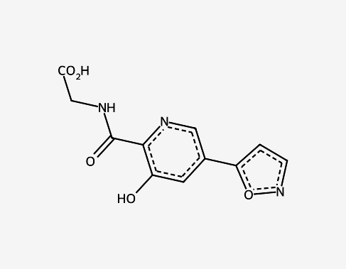 O=C(O)CNC(=O)c1ncc(-c2ccno2)cc1O